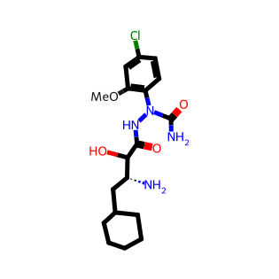 COc1cc(Cl)ccc1N(NC(=O)C(O)[C@H](N)CC1CCCCC1)C(N)=O